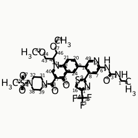 CCNC(=O)Nc1cc(-c2nc(C(F)(F)F)cs2)c(-c2ccc3c(c2)c(=O)c(C(=O)N2CCN(S(C)(=O)=O)CC2)cn3C(COC)COC)cn1